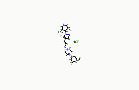 Cc1c(/C=C/CN2CCN(c3cc(F)cc(F)c3)CC2)cnn1-c1c(Cl)cncc1Cl.Cl